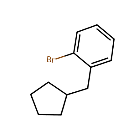 Brc1ccccc1CC1CCCC1